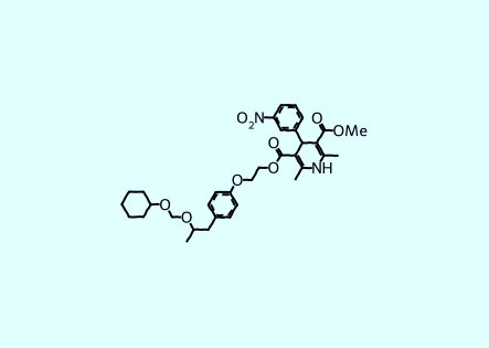 COC(=O)C1=C(C)NC(C)=C(C(=O)OCCOc2ccc(CC(C)OCOC3CCCCC3)cc2)C1c1cccc([N+](=O)[O-])c1